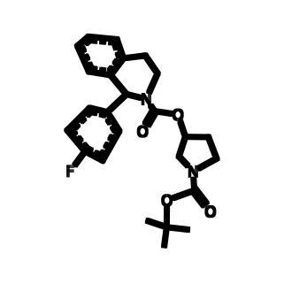 CC(C)(C)OC(=O)N1CCC(OC(=O)N2CCc3ccccc3C2c2ccc(F)cc2)C1